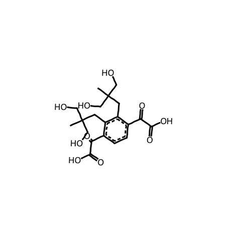 CC(CO)(CO)Cc1c(C(=O)C(=O)O)ccc(C(=O)C(=O)O)c1CC(C)(CO)CO